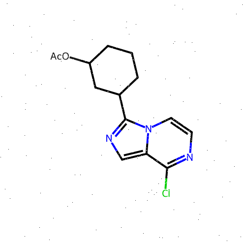 CC(=O)OC1CCCC(c2ncc3c(Cl)nccn23)C1